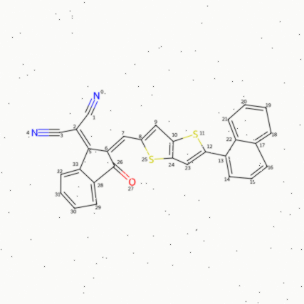 N#CC(C#N)=C1/C(=C/c2cc3sc(-c4cccc5ccccc45)cc3s2)C(=O)c2ccccc21